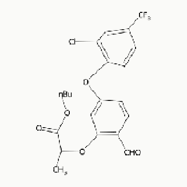 CCCCOC(=O)C(C)Oc1cc(Oc2ccc(C(F)(F)F)cc2Cl)ccc1C=O